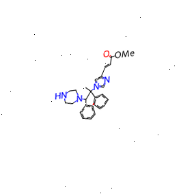 COC(=O)C=Cc1cn(C(C)(c2ccccc2)C(c2ccccc2)N2CCNCC2)cn1